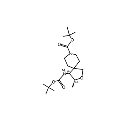 C[C@@H]1OCC2(CCN(C(=O)OC(C)(C)C)CC2)[C@@H]1NC(=O)OC(C)(C)C